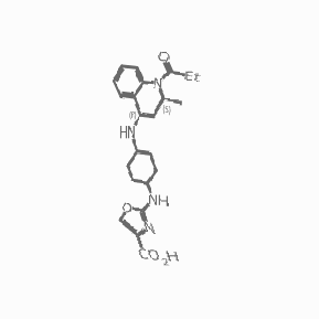 CCC(=O)N1c2ccccc2[C@H](NC2CCC(Nc3nc(C(=O)O)co3)CC2)C[C@@H]1C